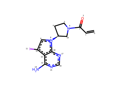 C=CC(=O)N1CC[C@H](n2cc(I)c3c(N)ncnc32)C1